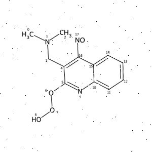 CN(C)Cc1c(OOO)nc2ccccc2c1N=O